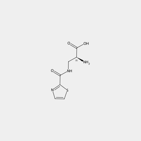 N[C@@H](CNC(=O)c1nccs1)C(=O)O